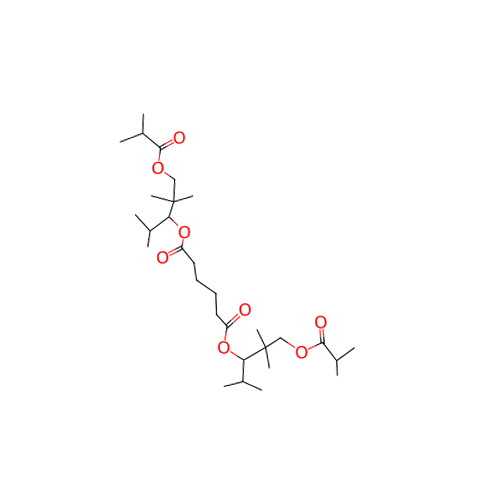 CC(C)C(=O)OCC(C)(C)C(OC(=O)CCCCC(=O)OC(C(C)C)C(C)(C)COC(=O)C(C)C)C(C)C